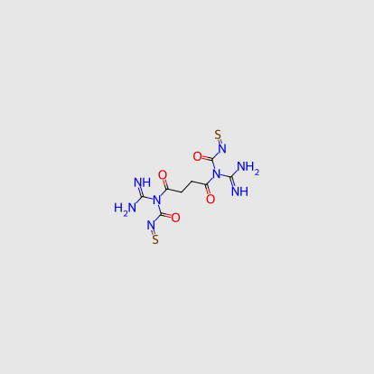 N=C(N)N(C(=O)CCC(=O)N(C(=N)N)C(=O)N=S)C(=O)N=S